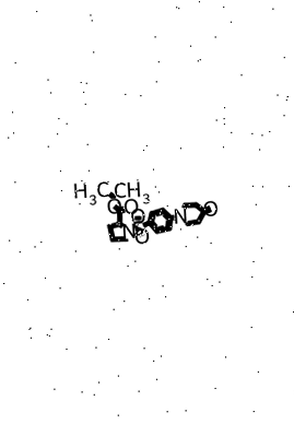 CC(C)OC(=O)C1CCCN1S(=O)(=O)c1ccc(N2CCC(=O)CC2)cc1